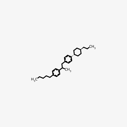 CCCCCc1ccc(C(C)Cc2ccc([C@H]3CC[C@H](CCC)CC3)cc2)cc1